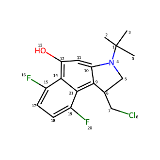 CC(C)(C)N1CC(CCl)c2c1cc(O)c1c(F)ccc(F)c21